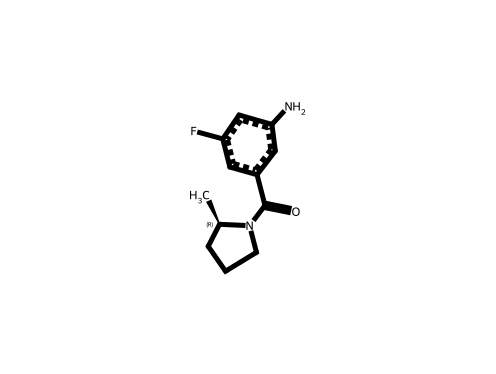 C[C@@H]1CCCN1C(=O)c1cc(N)cc(F)c1